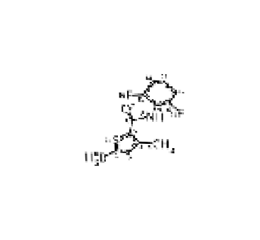 Bc1cc(C)c(C(=O)Nc2c(F)cccc2F)s1